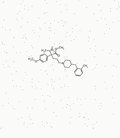 COC(=O)C(CCCN1CCC(Cc2ccccc2C)CC1)(c1ccc(OC)cc1)C(C)C